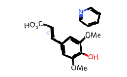 COc1cc(/C=C/C(=O)O)cc(OC)c1O.c1ccncc1